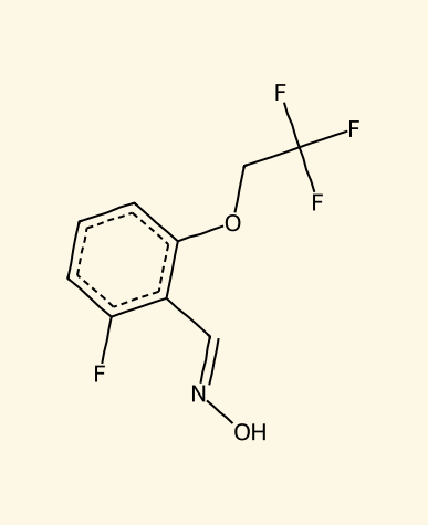 ON=Cc1c(F)cccc1OCC(F)(F)F